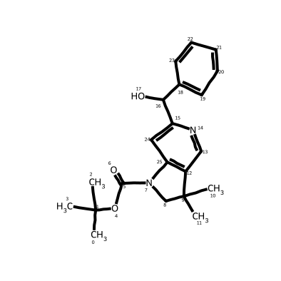 CC(C)(C)OC(=O)N1CC(C)(C)c2cnc(C(O)c3ccccc3)cc21